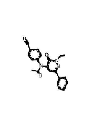 CCn1nc(-c2ccccc2)cc(N(C(C)=O)c2ccc(C#N)cc2)c1=O